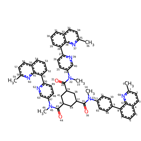 Cc1ccc2cccc(-c3ccc(N(C)C(=O)C4CC(C(=O)N(C)c5ccc(-c6cccc7ccc(C)nc67)nc5)CC(C(=O)N(C)c5ccc(-c6cccc7ccc(C)nc67)nc5)C4)cc3)c2n1